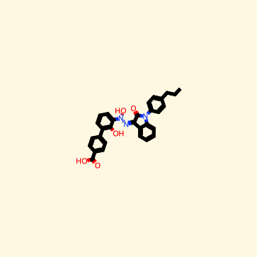 CCCc1ccc(N2C(=O)C(=NN(O)c3cccc(-c4ccc(C(=O)O)cc4)c3O)c3ccccc32)cc1